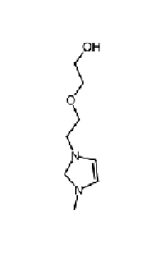 CN1C=CN(CCOCCO)C1